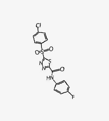 O=C(Nc1ccc(F)cc1)c1nnc(S(=O)(=O)c2ccc(Cl)cc2)s1